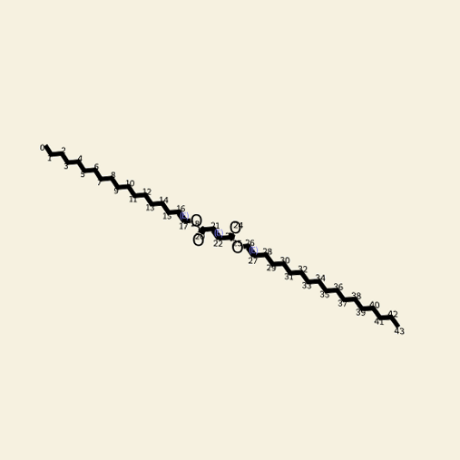 CCCCCCCCCCCCCCCC/C=C/OC(=O)/C=C/C(=O)O/C=C/CCCCCCCCCCCCCCCC